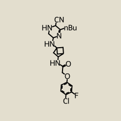 CCCCC1=NC(NC23CC(C2)C(NC(=O)COc2ccc(Cl)c(F)c2)C3)CNC1C#N